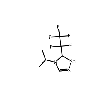 CC(C)N1C=NNC1C(F)(F)C(F)(F)F